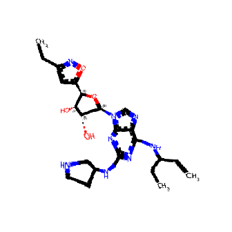 CCc1cc([C@H]2O[C@@H](n3cnc4c(NC(CC)CC)nc(NC5CCNC5)nc43)[C@H](O)[C@@H]2O)on1